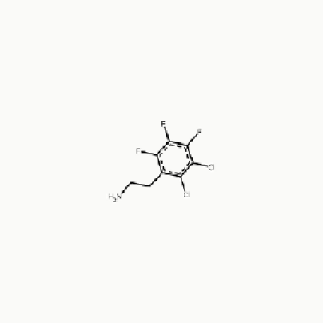 NCCc1c(F)c(F)c(F)c(Cl)c1Cl